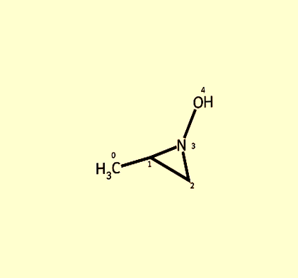 CC1CN1O